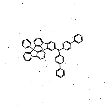 c1ccc(-c2ccc(N(c3ccc(-c4ccccc4)cc3)c3ccc4c(c3)sc3c(C5(c6ccccc6)c6ccccc6-c6ccccc65)cccc34)cc2)cc1